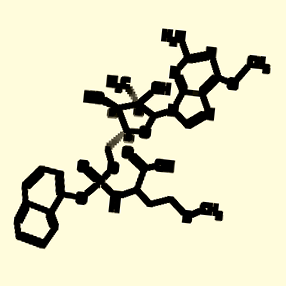 COc1nc(N)nc2c1ncn2C1O[C@H](COP(=O)(NC(CCSC)C(=O)O)Oc2cccc3ccccc23)[C@@H](O)[C@@]1(C)O